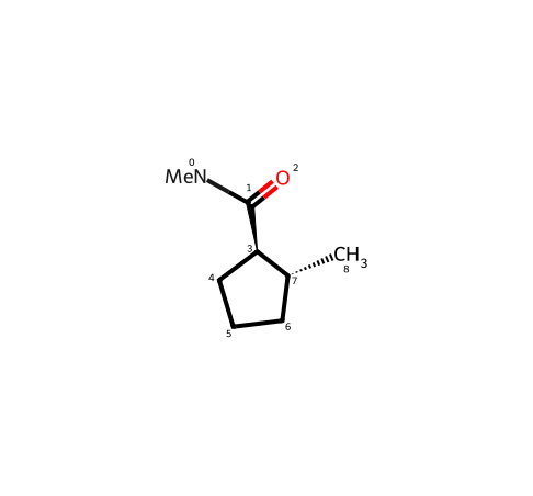 CNC(=O)[C@@H]1CCC[C@H]1C